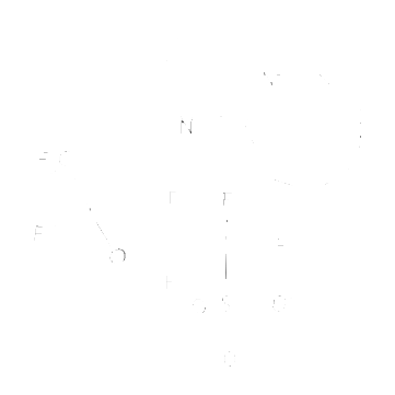 C[N+]12CCCCCC1=NCCC2.O=S(=O)([O-])C(F)(F)C(F)(F)OC(F)(F)C(F)(F)F